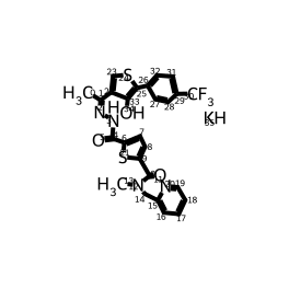 C/C(=N/NC(=O)c1ccc(C(=O)N(C)Cc2ccccn2)s1)c1csc(-c2ccc(C(F)(F)F)cc2)c1O.[KH]